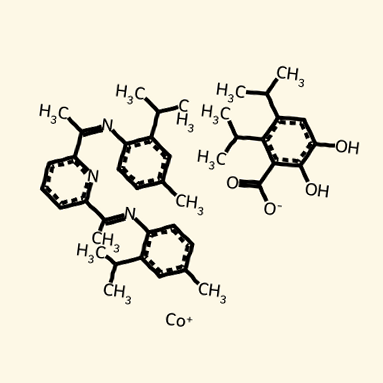 CC(=Nc1ccc(C)cc1C(C)C)c1cccc(C(C)=Nc2ccc(C)cc2C(C)C)n1.CC(C)c1cc(O)c(O)c(C(=O)[O-])c1C(C)C.[Co+]